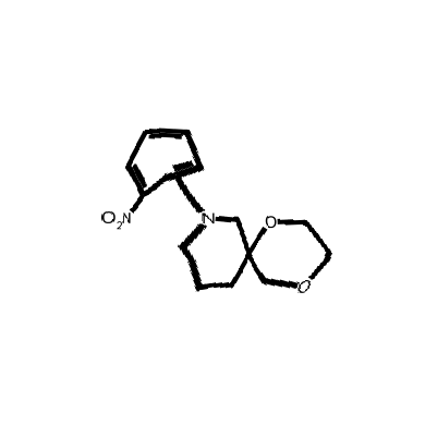 O=[N+]([O-])c1ccccc1N1CCCC2(COCCO2)C1